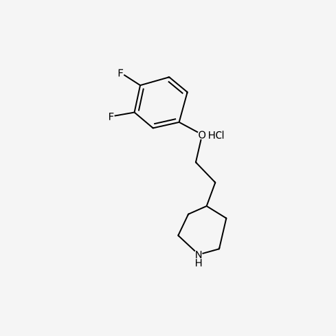 Cl.Fc1ccc(OCCC2CCNCC2)cc1F